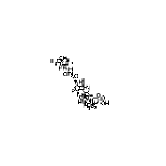 CN1C[C@@H]2CCN(c3c(-c4cnc5c(c4)c(=O)c(C(=O)O)cn5C)cnc4[nH]c5c(NCC(=O)CNC(=O)CNC(=O)OC(C)(C)C)cc(F)c(F)c5c34)[C@@H]2C1